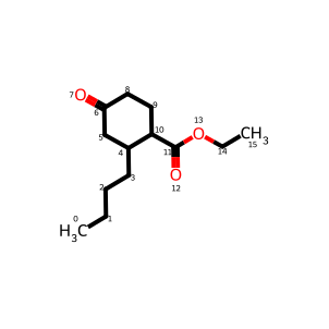 CCCCC1CC(=O)CCC1C(=O)OCC